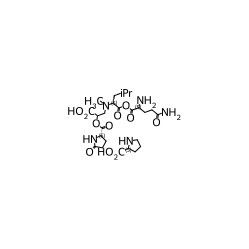 CC(C)C[C@@H](C(=O)OC(=O)[C@@H](N)CCC(N)=O)N(C)CC(OC(=O)[C@@H]1CCC(=O)N1)C(=O)O.O=C(O)[C@@H]1CCCN1